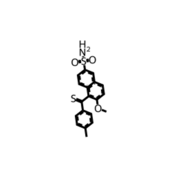 COc1ccc2cc(S(N)(=O)=O)ccc2c1C(=S)c1ccc(C)cc1